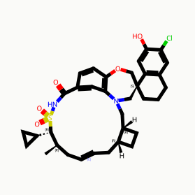 C[C@@H]1C/C=C/C[C@H]2CC[C@H]2CN2C[C@@]3(CCCc4cc(Cl)c(O)cc43)COc3ccc(cc32)C(=O)NS(=O)(=O)[C@H]1C1CC1